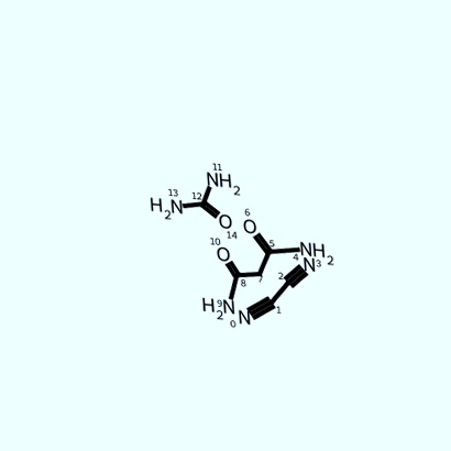 N#CC#N.NC(=O)CC(N)=O.NC(N)=O